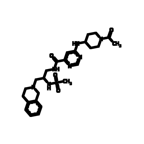 CC(=O)N1CCC(Nc2cc(C(=O)NCC(CN3CCc4ccccc4C3)NS(C)(=O)=O)ncn2)CC1